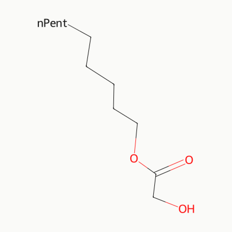 CCCCCCCCCCOC(=O)CO